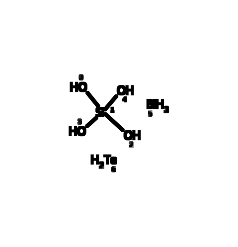 O[Si](O)(O)O.[BiH3].[TeH2]